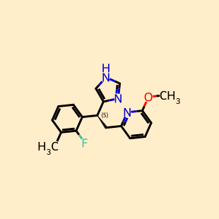 COc1cccc(C[C@H](c2c[nH]cn2)c2cccc(C)c2F)n1